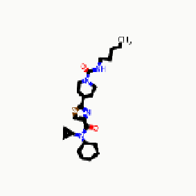 CCCCCNC(=O)N1CCC(c2nc(C(=O)N(C3CCCCC3)C3CC3)cs2)CC1